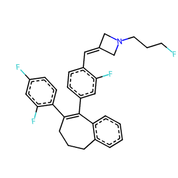 FCCCN1CC(=Cc2ccc(C3=C(c4ccc(F)cc4F)CCCc4ccccc43)cc2F)C1